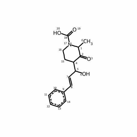 CC1C(=O)C(C(O)C=Cc2ccccc2)CCN1C(=O)O